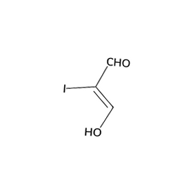 O=C/C(I)=C/O